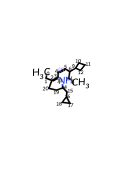 CCC1=C(/C=C\C(CC)C2CCC2)NC(CC2CC2)CC1